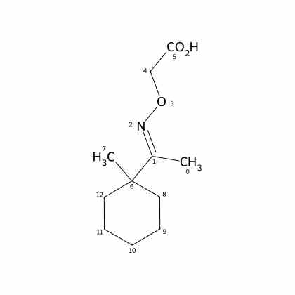 CC(=NOCC(=O)O)C1(C)CCCCC1